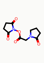 O=C(CN1CCCC1=O)ON1C(=O)CCC1=O